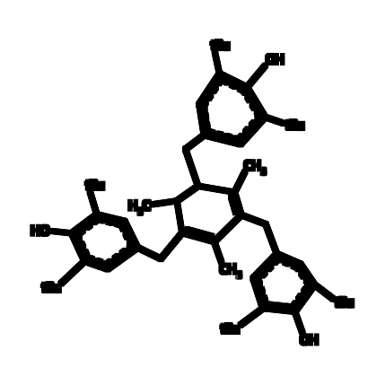 CC1=C(Cc2cc(C(C)(C)C)c(O)c(C(C)(C)C)c2)C(C)C(Cc2cc(C(C)(C)C)c(O)c(C(C)(C)C)c2)C(C)=C1Cc1cc(C(C)(C)C)c(O)c(C(C)(C)C)c1